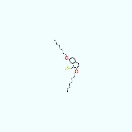 CCCCCCCCOc1ccc2ccc(OCCCCCCCC)c(CSC)c2c1